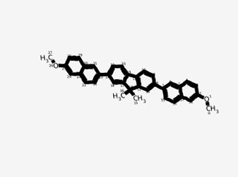 COc1ccc2cc(-c3ccc4c(c3)C(C)(C)c3cc(-c5ccc6cc(OC)ccc6c5)ccc3-4)ccc2c1